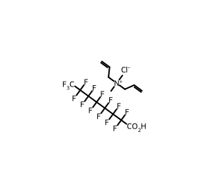 C=CC[N+](C)(C)CC=C.O=C(O)C(F)(F)C(F)(F)C(F)(F)C(F)(F)C(F)(F)C(F)(F)C(F)(F)F.[Cl-]